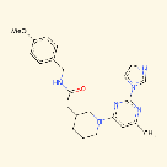 COc1ccc(CNC(=O)CC2CCCN(c3cc(C)nc(-n4ccnc4)n3)C2)cc1